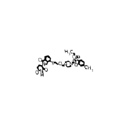 CCOS(=O)(=O)c1ccc(C)cc1OCN1CCN(COCCSc2cccc3c2CN(C2CCC(=O)NC2=O)C3=O)CC1